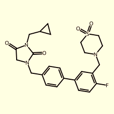 O=C1CN(Cc2ccc(-c3ccc(F)c(CN4CCS(=O)(=O)CC4)c3)cc2)C(=O)N1CC1CC1